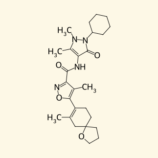 CC1=C(c2onc(C(=O)Nc3c(C)n(C)n(C4CCCCC4)c3=O)c2C)CCC2(CCCO2)C1